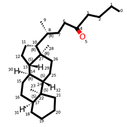 CCCCC(=O)CC[C@@H](C)[C@H]1CC[C@H]2[C@@H]3CC[C@@H]4CCCC[C@]4(C)[C@H]3CC[C@]12C